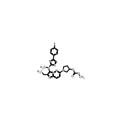 CCc1nc2ccc(N3CCC(OC(=O)OC)C3)nn2c1N(C)c1nc(-c2ccc(F)cc2)cs1